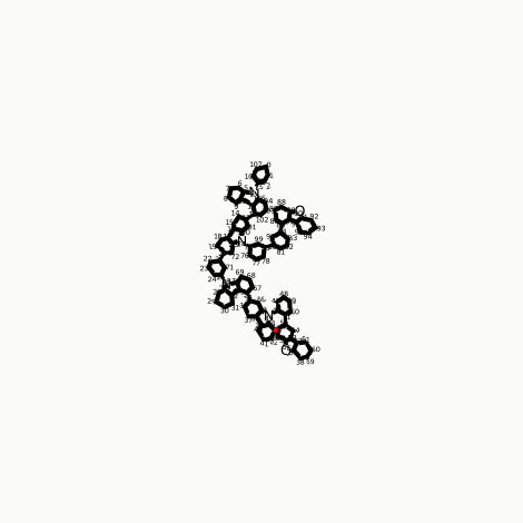 c1ccc(-n2c3ccccc3c3c(-c4ccc5c6ccc(-c7cccc(-n8c9ccccc9c9c(-c%10ccc%11c%12ccccc%12n(-c%12ccccc%12-c%12ccc%13oc%14ccccc%14c%13c%12)c%11c%10)cccc98)c7)cc6n(-c6cccc(-c7cccc(-c8cccc9oc%10ccccc%10c89)c7)c6)c5c4)cccc32)cc1